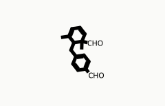 CC1=CC=CC(C)(C=O)C1Cc1ccc(C=O)cc1